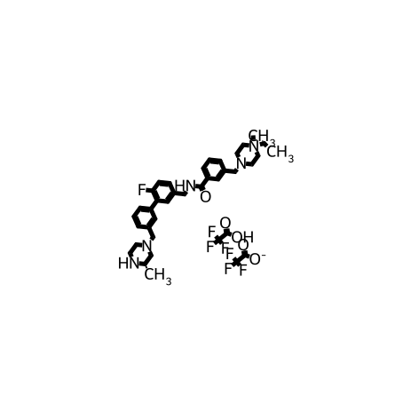 CC[N+]1(C)CCN(Cc2cccc(C(=O)NCc3ccc(F)c(-c4cccc(CN5CCN[C@@H](C)C5)c4)c3)c2)CC1.O=C(O)C(F)(F)F.O=C([O-])C(F)(F)F